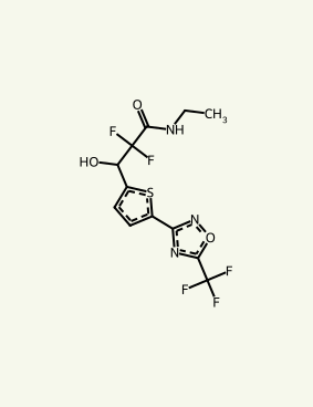 CCNC(=O)C(F)(F)C(O)c1ccc(-c2noc(C(F)(F)F)n2)s1